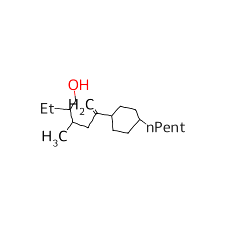 C=C(CC(C)C(CC)CO)C1CCC(CCCCC)CC1